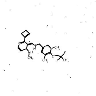 CNC1C=CN=C(C2=CCC2)/C1=C/NCC1=CC(C)=C(OCC(C)(F)F)N(C)C1